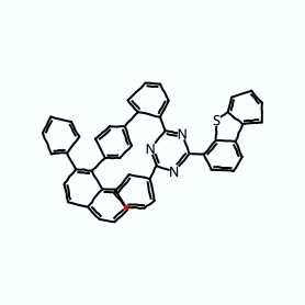 c1ccc(-c2nc(-c3ccccc3-c3ccc(-c4c(-c5ccccc5)ccc5ccccc45)cc3)nc(-c3cccc4c3sc3ccccc34)n2)cc1